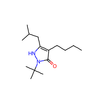 CCCCc1c(CC(C)C)[nH]n(C(C)(C)C)c1=O